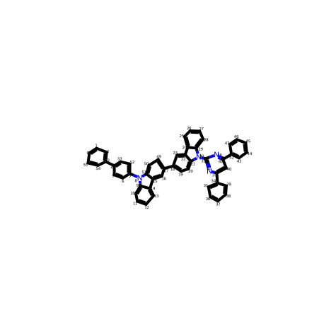 c1ccc(-c2ccc(-n3c4ccccc4c4cc(-c5ccc6c(c5)c5ccccc5n6-c5nc(-c6ccccc6)cc(-c6ccccc6)n5)ccc43)cc2)cc1